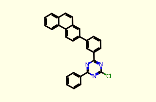 Clc1nc(-c2ccccc2)nc(-c2cccc(-c3ccc4c(ccc5ccccc54)c3)c2)n1